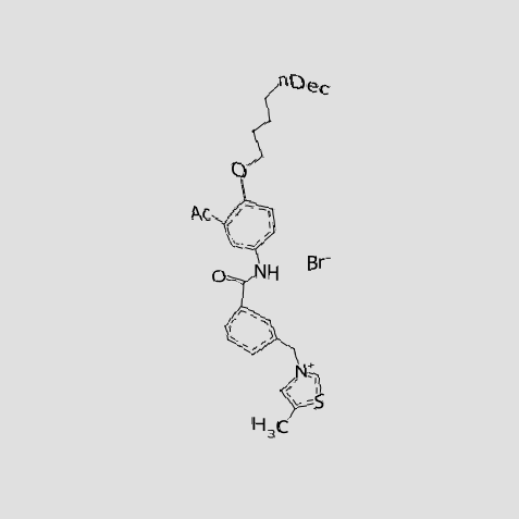 CCCCCCCCCCCCCCOc1ccc(NC(=O)c2cccc(C[n+]3csc(C)c3)c2)cc1C(C)=O.[Br-]